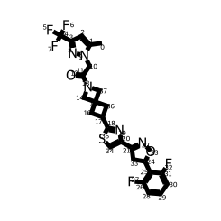 Cc1cc(C(F)(F)F)nn1CC(=O)N1CC2(CC(c3nc(C4=NOC(c5c(F)cccc5F)C4)cs3)C2)C1